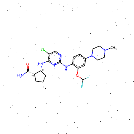 CN1CCN(c2ccc(Nc3ncc(Cl)c(N[C@@H]4CCC[C@@H]4C(N)=O)n3)c(OC(F)F)c2)CC1